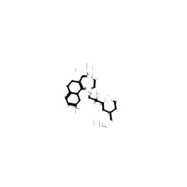 O=C1NCCN(CC(F)(F)C2CC(CO)CCO2)C2=C1CCC1=CC=C(C(F)(F)F)CC12